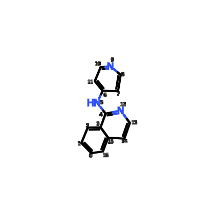 c1ccc2c(Nc3ccncc3)nccc2c1